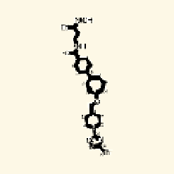 CC/C(CCNC(=O)C1CC=C(C2=CCC=C(OCC3CCN(c4nc(C(C)C)no4)CC3)C=C2)CC1)=N/O